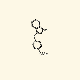 CSc1ccc(Cc2c[nH]c3ccccc23)cc1